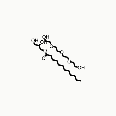 CCCCCCCCCCCC(=O)OCC(O)CO.OCCOCCOCCOCCO